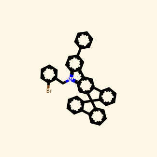 Brc1ccccc1Cn1c2ccc(-c3ccccc3)cc2c2cc3c(cc21)C1(c2ccccc2-c2ccccc21)c1ccccc1-3